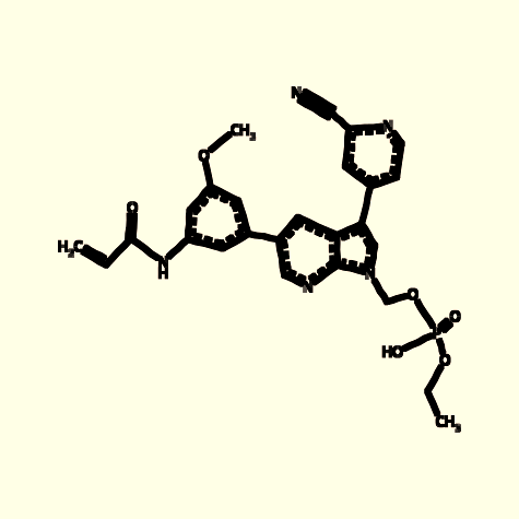 C=CC(=O)Nc1cc(OC)cc(-c2cnc3c(c2)c(-c2ccnc(C#N)c2)cn3COP(=O)(O)OCC)c1